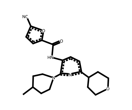 CC1CCN(c2nc(C3CCOCC3)ccc2NC(=O)c2ccc(C#N)o2)CC1